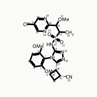 COc1cccc(OC)c1-n1c(NS(=O)(=O)C(C)C(OC)c2ncc(Cl)cn2)nnc1[C@H]1CC[C@H]1C#N